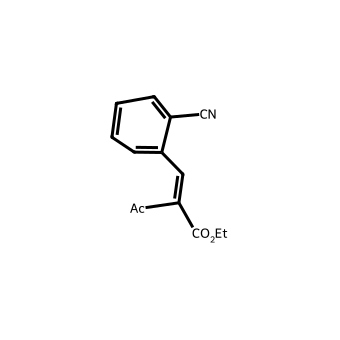 CCOC(=O)C(=Cc1ccccc1C#N)C(C)=O